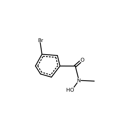 CN(O)C(=O)c1cccc(Br)c1